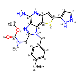 CCN(Cc1nc2c(N)nc3cc(-c4ccn[nH]4)sc3c2n1Cc1ccc(OC)cc1)C(=O)OC(C)(C)C